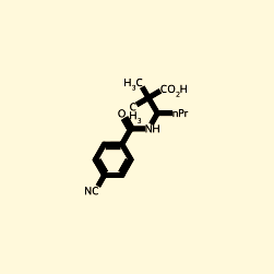 CCCC(NC(=O)c1ccc(C#N)cc1)C(C)(C)C(=O)O